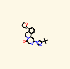 CC(C)(C)c1cn(C2=NCC(=O)N3CCc4c(cccc4[C@H]4CCCO4)C3=C2)cn1